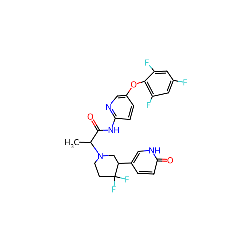 CC(C(=O)Nc1ccc(Oc2c(F)cc(F)cc2F)cn1)N1CCC(F)(F)C(c2ccc(=O)[nH]c2)C1